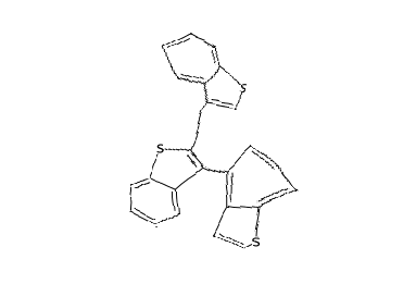 [c]1ccc2sc(-c3csc4ccccc34)c(-c3cccc4sccc34)c2c1